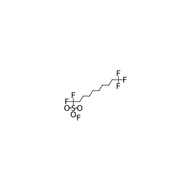 O=S(=O)(OF)C(F)(F)CCCCCCCCC(F)(F)F